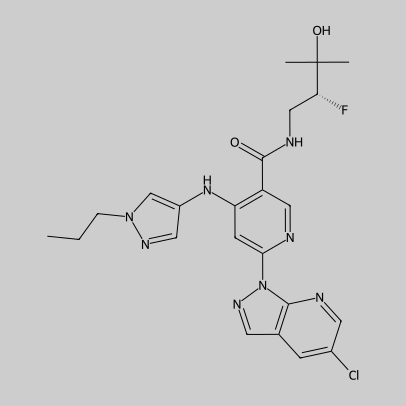 CCCn1cc(Nc2cc(-n3ncc4cc(Cl)cnc43)ncc2C(=O)NC[C@@H](F)C(C)(C)O)cn1